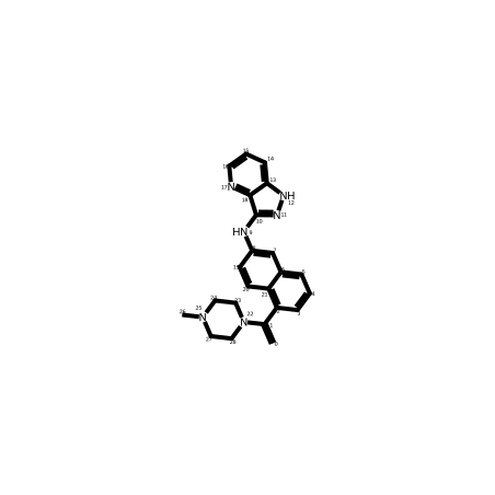 C=C(c1cccc2cc(Nc3n[nH]c4cccnc34)ccc12)N1CCN(C)CC1